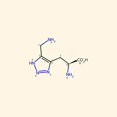 NCc1[nH]nnc1C[C@H](N)C(=O)O